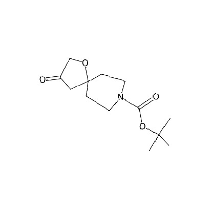 CC(C)(C)OC(=O)N1CCC2(CC1)CC(=O)CO2